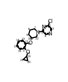 Clc1cncc(N2CCC[C@@H](Oc3ccccc3OC3CC3)C2)n1